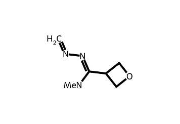 C=N/N=C(\NC)C1COC1